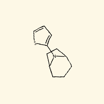 c1csc(N2C3CCCC2CC3)c1